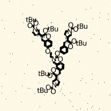 CC(C)(C)OC(=O)[C@@H](Cc1cccc(CN(CCOc2cccc(C[C@H](C(=O)OC(C)(C)C)[C@H]3CCN(C(=O)OC(C)(C)C)C3)c2)C(=O)Oc2cccc(C[C@H](C(=O)OC(C)(C)C)[C@H]3CCN(C(=O)OC(C)(C)C)C3)c2)c1)[C@H]1CCN(C(=O)OC(C)(C)C)C1